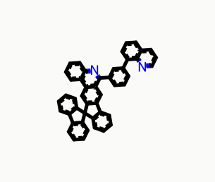 c1cc(-c2nc3ccccc3c3cc4c(cc23)-c2ccccc2C42c3ccccc3-c3ccccc32)cc(-c2cccc3cccnc23)c1